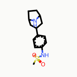 CS(=O)(=O)Nc1ccc(C2CC3CCC(C2)N3)cc1